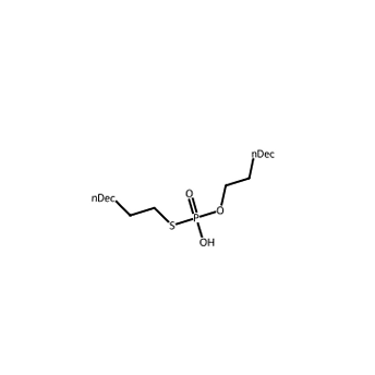 CCCCCCCCCCCCOP(=O)(O)SCCCCCCCCCCCC